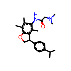 Cc1c(C)c2c(c(C)c1NC(=O)CN(C)C)C(c1ccc(C(C)C)cc1)CO2